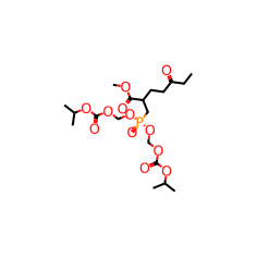 CCC(=O)CCC(CP(=O)(OCOC(=O)OC(C)C)OCOC(=O)OC(C)C)C(=O)OC